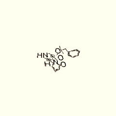 CC(C)(Cc1ccccc1)OC(=O)[C@@]12CNC[C@@H](C1)c1cccc(=O)n1C2